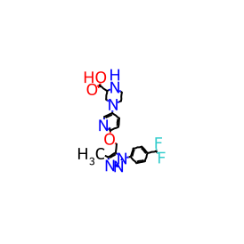 Cc1nnn(-c2ccc(C(F)F)cc2)c1COc1ccc(N2CCNC(C(=O)O)C2)cn1